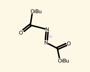 CC(C)COC(=O)/N=N/C(=O)OCC(C)C